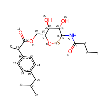 CCCC(=O)N[C@H]1SO[C@H](COC(=O)C(C)c2ccc(CC(C)C)cc2)[C@@H](O)[C@@H]1O